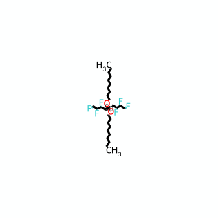 CCCCCCCCCC[O][Sn]([CH2]C(F)C(F)CF)([CH2]C(F)C(F)CF)[O]CCCCCCCCCC